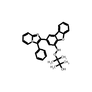 CC(C)(O)C(C)(C)OBc1cc(-c2nc3ccccn3c2-c2ccccc2)cc2c1oc1ccccc12